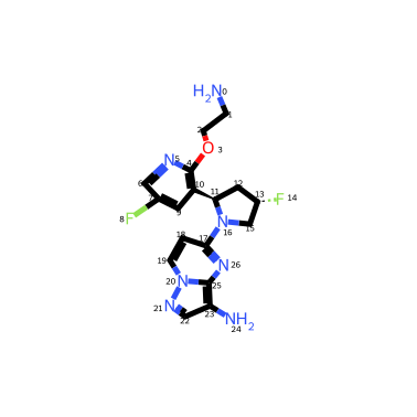 NCCOc1ncc(F)cc1[C@H]1C[C@H](F)CN1c1ccn2ncc(N)c2n1